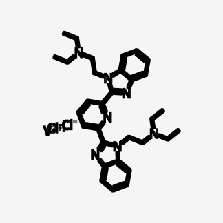 CCN(CC)CCn1c(-c2cccc(-c3nc4ccccc4n3CCN(CC)CC)n2)nc2ccccc21.[Cl-].[Cl-].[V+2]